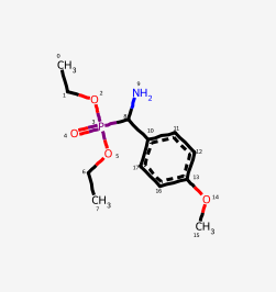 CCOP(=O)(OCC)C(N)c1ccc(OC)cc1